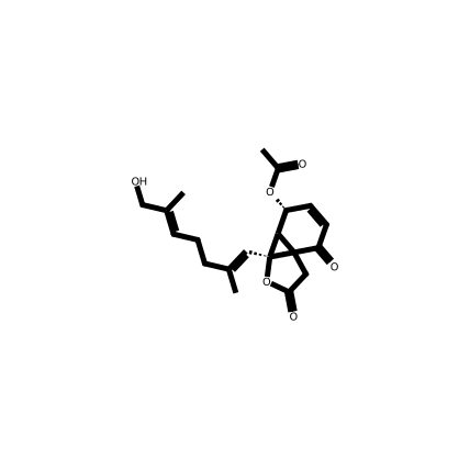 CC(=O)O[C@@H]1C=CC(=O)C23CC(=O)O[C@@]2(/C=C(\C)CC/C=C(\C)CO)C13